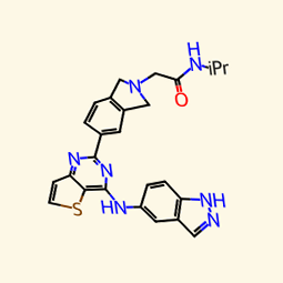 CC(C)NC(=O)CN1Cc2ccc(-c3nc(Nc4ccc5[nH]ncc5c4)c4sccc4n3)cc2C1